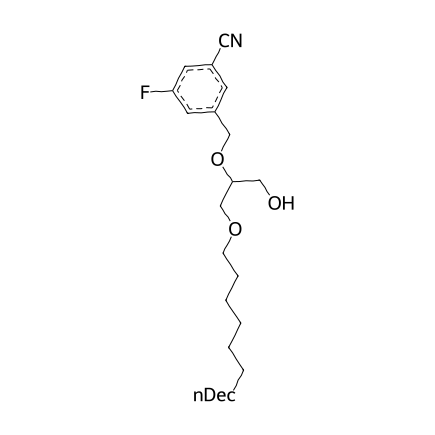 CCCCCCCCCCCCCCCCOCC(CO)OCc1cc(F)cc(C#N)c1